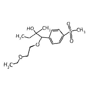 CCOCCOC(c1ccc(S(C)(=O)=O)cc1)C(C)(O)CC